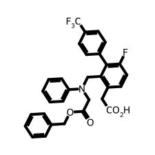 O=C(O)Cc1ccc(F)c(-c2ccc(C(F)(F)F)cc2)c1CN(CC(=O)OCc1ccccc1)c1ccccc1